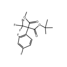 COC(=O)C(C(=O)OC(C)(C)C)(c1ccc(F)cc1F)C(F)(F)Br